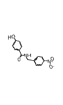 O=C(NCc1ccc([N+](=O)[O-])cc1)c1ccc(O)cc1